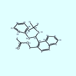 CC(=O)OCc1ccc2ccccc2c1C(Sc1ccccn1)SC(C)(C)C